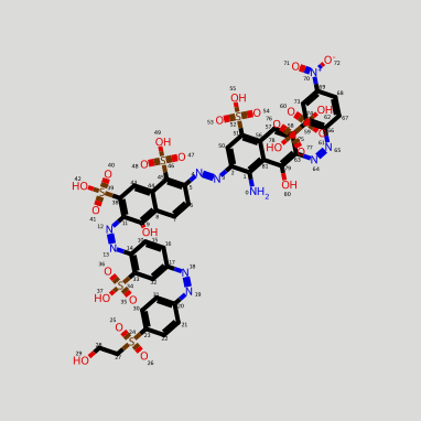 Nc1c(N=Nc2ccc3c(O)c(/N=N\c4ccc(/N=N\c5ccc(S(=O)(=O)CCO)cc5)cc4S(=O)(=O)O)c(S(=O)(=O)O)cc3c2S(=O)(=O)O)cc(S(=O)(=O)O)c2cc(S(=O)(=O)O)c(/N=N\c3ccc([N+](=O)[O-])cc3S(=O)(=O)O)c(O)c12